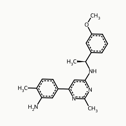 COc1cccc([C@H](C)Nc2cc(-c3ccc(C)c(N)c3)nc(C)n2)c1